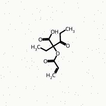 C=CC(=O)OC(CC)(C(=O)O)C(=O)CC